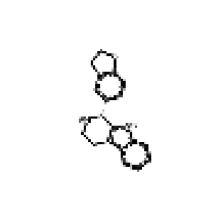 c1ccc2c3c([nH]c2c1)[C@@H](c1ccc2c(c1)CCO2)NCC3